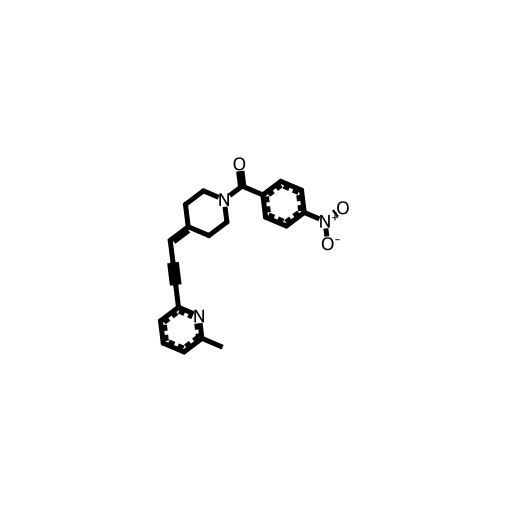 Cc1cccc(C#CC=C2CCN(C(=O)c3ccc([N+](=O)[O-])cc3)CC2)n1